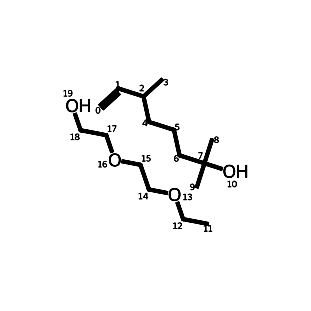 C=CC(C)CCCC(C)(C)O.CCOCCOCCO